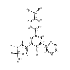 C[C@H](NC(=O)c1cc(-c2ccc(C(F)F)cc2)nn(-c2cccnc2)c1=O)C(C)(C)O